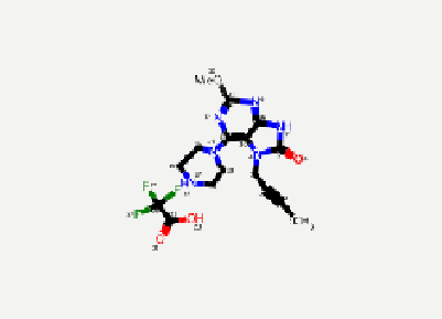 CC#CCn1c(=O)[nH]c2nc(OC)nc(N3CCNCC3)c21.O=C(O)C(F)(F)F